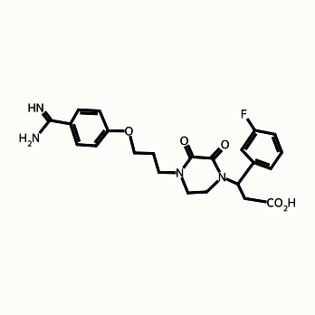 N=C(N)c1ccc(OCCCN2CCN(C(CC(=O)O)c3cccc(F)c3)C(=O)C2=O)cc1